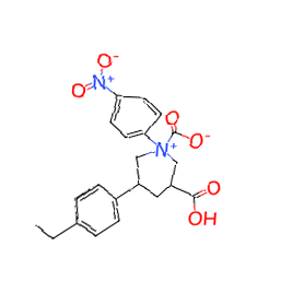 CCc1ccc(C2CC(C(=O)O)C[N+](C(=O)[O-])(c3ccc([N+](=O)[O-])cc3)C2)cc1